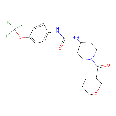 O=C(Nc1ccc(OC(F)(F)F)cc1)NC1CCN(C(=O)C2CCCOC2)CC1